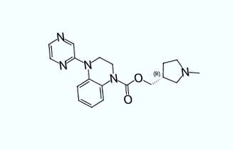 CN1CC[C@@H](COC(=O)N2CCN(c3cnccn3)c3ccccc32)C1